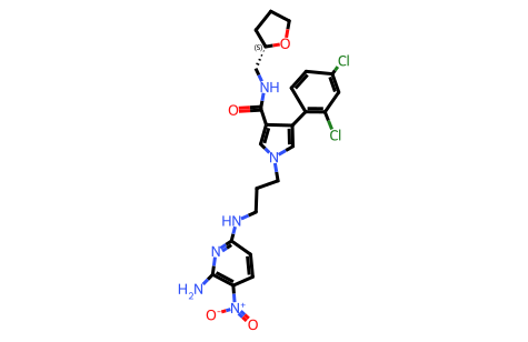 Nc1nc(NCCCn2cc(C(=O)NC[C@@H]3CCCO3)c(-c3ccc(Cl)cc3Cl)c2)ccc1[N+](=O)[O-]